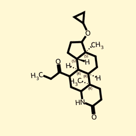 CCC(=O)C1CC2NC(=O)CC[C@]2(C)[C@@H]2CC[C@]3(C)C(OC4CC4)CC[C@H]3[C@H]12